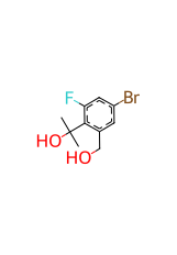 CC(C)(O)c1c(F)cc(Br)cc1CO